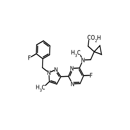 Cc1cc(-c2ncc(F)c(N(C)CC3(CC(=O)O)CC3)n2)nn1Cc1ccccc1F